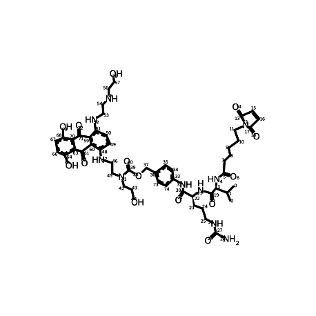 CC(C)[C@H](NC(=O)CCCCCN1C(=O)C=CC1=O)C(=O)N[C@@H](CCCNC(N)=O)C(=O)Nc1ccc(COC(=O)N(CCO)CCNc2ccc(NCCNCCO)c3c2C(=O)c2c(O)ccc(O)c2C3=O)cc1